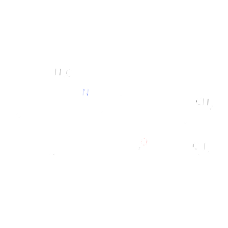 C=C(C)C(=O)CC1C[N+](C)(C2CCCCC2)C1